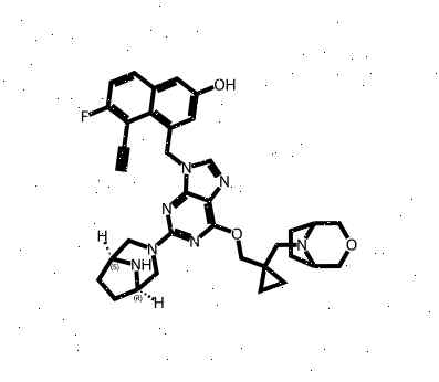 C#Cc1c(F)ccc2cc(O)cc(Cn3cnc4c(OCC5(CN6C7CCC6COC7)CC5)nc(N5C[C@H]6CC[C@@H](C5)N6)nc43)c12